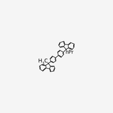 CCCC1(c2ccc(-c3ccc(C4(C)c5ccccc5-c5ccccc54)cc3)cc2)c2ccccc2-c2ccccc21